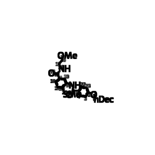 CCCCCCCCCCOc1ccc(C(=O)Nc2cc(C(=O)NCCOC)ccc2SC)cc1